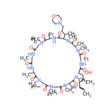 C/C=C/C[C@@H](C)[C@@H](O)[C@H]1C(=O)N[C@@H](CC)C(=O)N(C)[C@H](C)C(=O)N(C)C([C@H](C)CCN2CCOCC2)C(=O)NC(C(C)C)C(=O)N(C)[C@@H](CC(C)C)C(=O)N[C@@H](C)C(=O)N[C@H](C)C(=O)N(C)[C@@H](CC(C)C)C(=O)N(C)[C@@H](CC(C)C)C(=O)N(C)C(C(C)C)C(=O)N1C